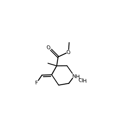 COC(=O)C1(C)CNCCC1=CF.Cl